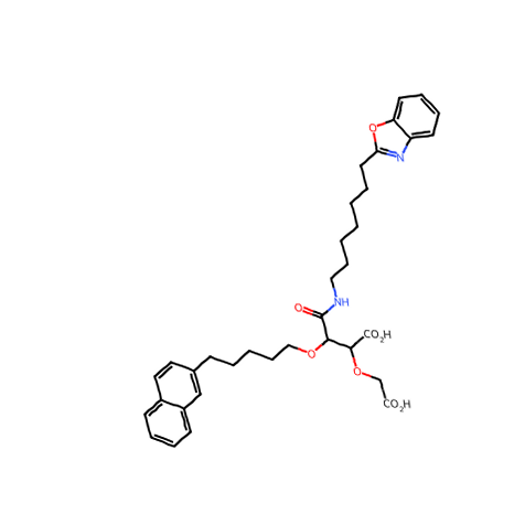 O=C(O)COC(C(=O)O)C(OCCCCCc1ccc2ccccc2c1)C(=O)NCCCCCCCc1nc2ccccc2o1